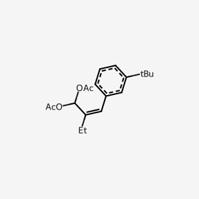 CCC(=Cc1cccc(C(C)(C)C)c1)C(OC(C)=O)OC(C)=O